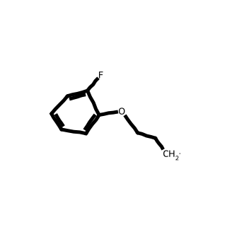 [CH2]CCOc1ccccc1F